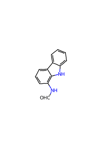 O=CNc1cccc2c1[nH]c1ccccc12